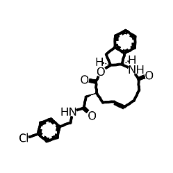 O=C(C[C@@H]1C/C=C/CCC(=O)N[C@@H]2c3ccccc3C[C@@H]2OC1=O)NCc1ccc(Cl)cc1